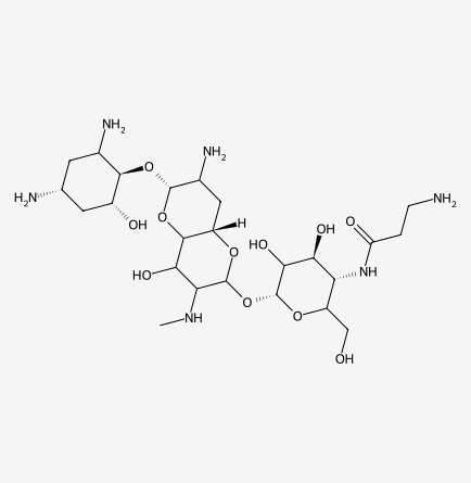 CNC1C(O[C@H]2OC(CO)[C@@H](NC(=O)CCN)[C@H](O)C2O)O[C@H]2CC(N)[C@@H](O[C@@H]3C(N)C[C@@H](N)C[C@H]3O)OC2C1O